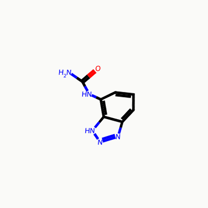 NC(=O)Nc1cccc2nn[nH]c12